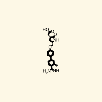 N=C(N)c1ccc(-c2ccc(OC[C@@H]3C[C@@H](CC(=O)O)C(=O)N3)cc2)cc1F